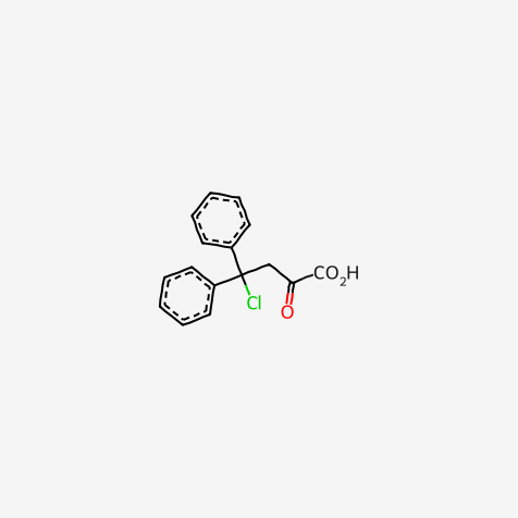 O=C(O)C(=O)CC(Cl)(c1ccccc1)c1ccccc1